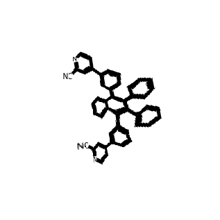 N#Cc1cc(-c2cccc(-c3c(-c4ccccc4)c(-c4ccccc4)c(-c4cccc(-c5ccnc(C#N)c5)c4)c4ccccc34)c2)ccn1